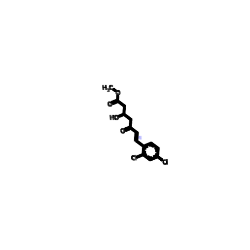 COC(=O)CC(O)CC(=O)/C=C/c1ccc(Cl)cc1Cl